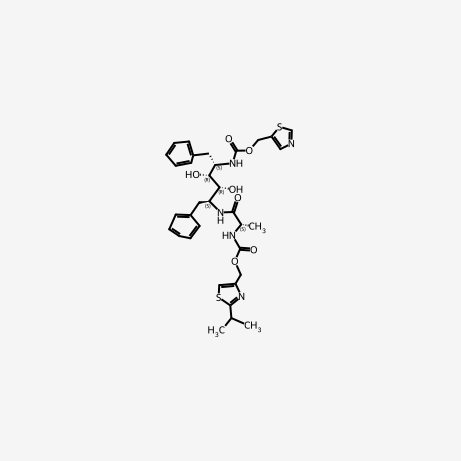 CC(C)c1nc(COC(=O)N[C@@H](C)C(=O)N[C@@H](Cc2ccccc2)[C@@H](O)[C@H](O)[C@H](Cc2ccccc2)NC(=O)OCc2cncs2)cs1